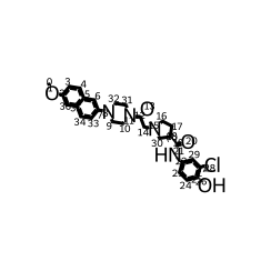 COc1ccc2cc(N3CCN(C(=O)CN4CC[C@@H](C(=O)Nc5ccc(O)c(Cl)c5)C4)CC3)ccc2c1